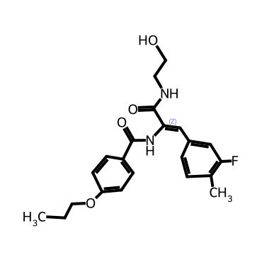 CCCOc1ccc(C(=O)N/C(=C\c2ccc(C)c(F)c2)C(=O)NCCO)cc1